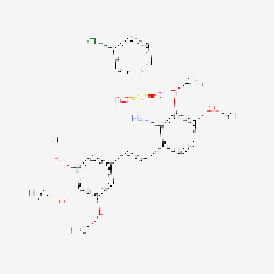 COc1cc(C=Cc2ccc(OC)c(OC)c2NS(=O)(=O)c2cccc(Cl)c2)cc(OC)c1OC